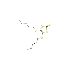 CCCCCSc1sc(=S)sc1SCCCCC